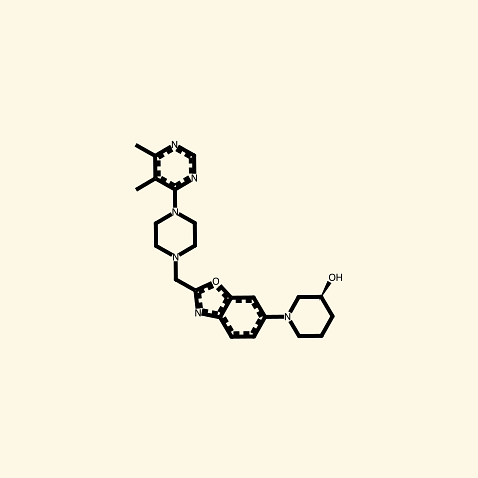 Cc1ncnc(N2CCN(Cc3nc4ccc(N5CCC[C@H](O)C5)cc4o3)CC2)c1C